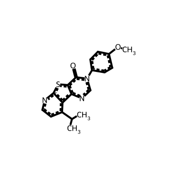 COc1ccc(-n2cnc3c(sc4nccc(C(C)C)c43)c2=O)cc1